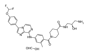 Cc1cc(Nc2nccn3c(-c4ccc(OC(F)F)cc4)cnc23)ccc1C(=O)N1CCC(C(=O)NC[C@H](O)CN)CC1.O=CO